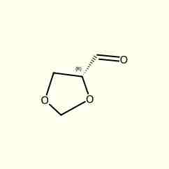 O=C[C@H]1COCO1